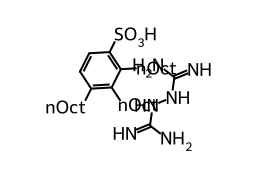 CCCCCCCCc1ccc(S(=O)(=O)O)c(CCCCCCCC)c1CCCCCCCC.N=C(N)NNC(=N)N